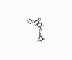 O=c1cc(N2CCOCC2)oc2cc(OCCOc3ccccc3)ccc12